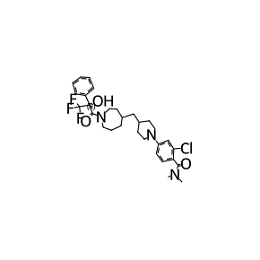 CN(C)C(=O)c1ccc(N2CCC(CC3CCCN(C(=O)[C@](O)(c4ccccc4)C(F)(F)F)CC3)CC2)cc1Cl